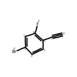 [C]#Cc1ccc(Br)cc1F